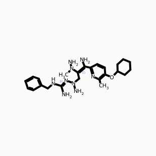 Cc1nc(/C(N)=C(\CN(N)/N=C(\N)NCc2ccccc2)N(C)N)ccc1OC1CCCCC1